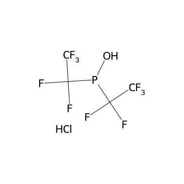 Cl.OP(C(F)(F)C(F)(F)F)C(F)(F)C(F)(F)F